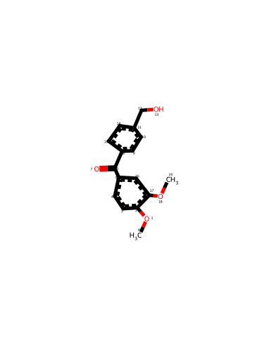 COc1ccc(C(=O)c2ccc(CO)cc2)cc1OC